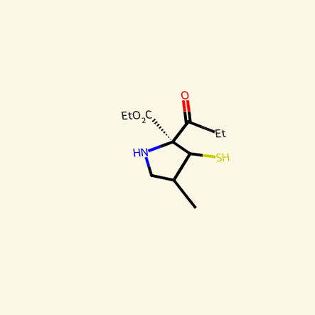 CCOC(=O)[C@@]1(C(=O)CC)NCC(C)C1S